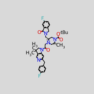 C[C@@H]1CN(CC(=O)N2CC(C)(C)c3cnc(Cc4ccc(F)cc4)cc32)[C@@H](CN2Cc3ccc(F)cc3C2=O)CN1C(=O)OC(C)(C)C